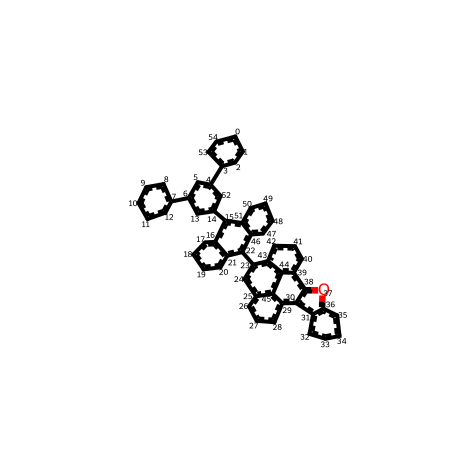 c1ccc(-c2cc(-c3ccccc3)cc(-c3c4ccccc4c(-c4cc5cccc6c7c8ccccc8oc7c7cccc4c7c56)c4ccccc34)c2)cc1